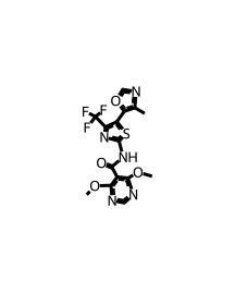 COc1ncnc(OC)c1C(=O)Nc1nc(C(F)(F)F)c(-c2ocnc2C)s1